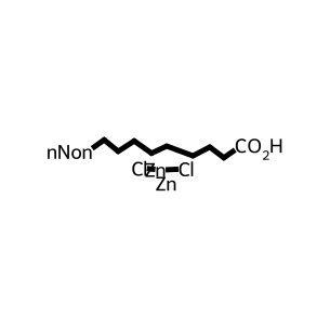 CCCCCCCCCCCCCCCCCC(=O)O.[Cl][Zn][Cl].[Zn]